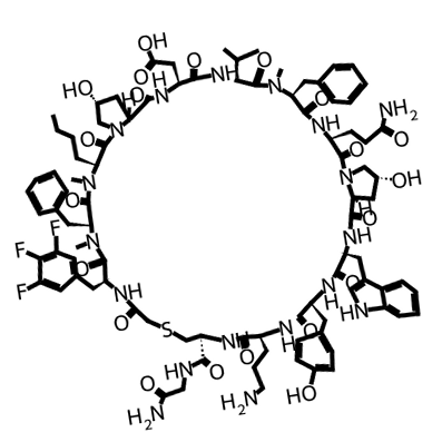 CCCC[C@H]1C(=O)N2C[C@H](O)C[C@@H]2C(=O)N[C@@H](CC(=O)O)C(=O)N[C@@H](C(C)C)C(=O)N(C)[C@@H](Cc2ccccc2)C(=O)N[C@@H](CCC(N)=O)C(=O)N2C[C@H](O)C[C@H]2C(=O)N[C@@H](Cc2c[nH]c3ccccc23)C(=O)N[C@@H](Cc2ccc(O)cc2)C(=O)N[C@@H](CCCN)C(=O)N[C@H](C(=O)NCC(N)=O)CSCC(=O)N[C@@H](Cc2cc(F)c(F)c(F)c2)C(=O)N(C)[C@@H](Cc2ccccc2)C(=O)N1C